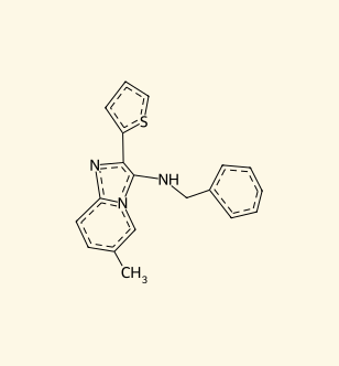 Cc1ccc2nc(-c3cccs3)c(NCc3ccccc3)n2c1